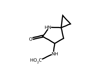 O=C(O)NC1CC2(CC2)NC1=O